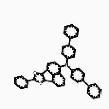 c1ccc(-c2ccc(N(c3ccc(-c4ccccc4)cc3)c3ccc4c5c(cccc35)-c3nc(-c5ccccc5)oc3-4)cc2)cc1